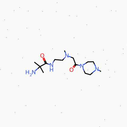 CN1CCN(C(=O)CN(C)CCNC(=O)C(C)(C)N)CC1